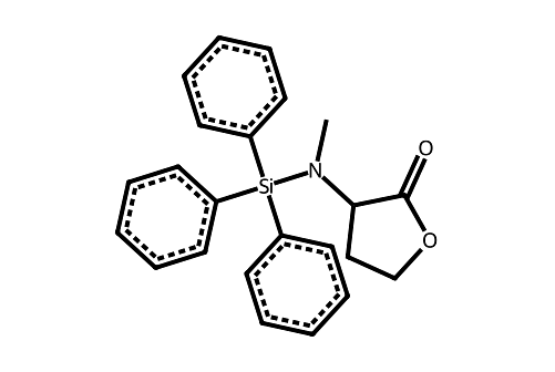 CN(C1CCOC1=O)[Si](c1ccccc1)(c1ccccc1)c1ccccc1